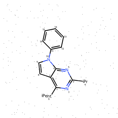 CCCC(C)c1nc(C(C)C)nc2c1ccn2-c1ccccc1